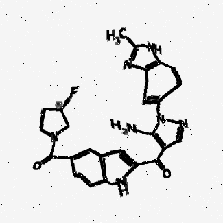 Cc1nc2cc(-n3ncc(C(=O)c4cc5cc(C(=O)N6CC[C@@H](F)C6)ccc5[nH]4)c3N)ccc2[nH]1